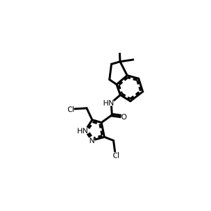 CC1(C)CCc2c(NC(=O)c3c(CCl)n[nH]c3CCl)cccc21